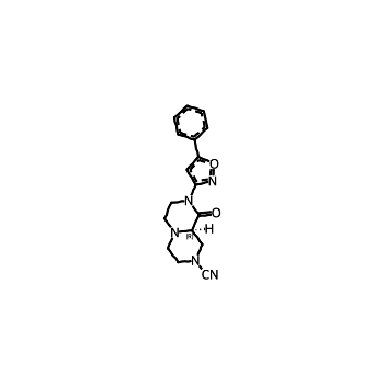 N#CN1CCN2CCN(c3cc(-c4ccccc4)on3)C(=O)[C@H]2C1